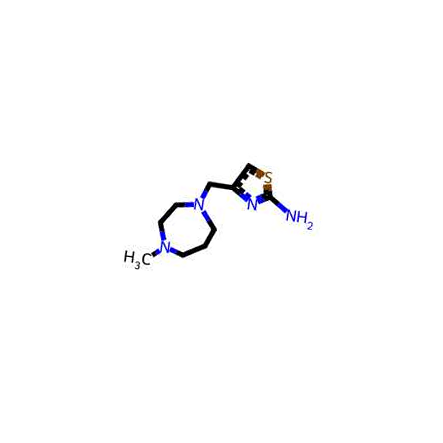 CN1CCCN(Cc2csc(N)n2)CC1